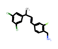 NCc1ccc(/C=C/C(c2cc(Cl)cc(Cl)c2)C(F)(F)F)cc1F